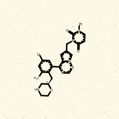 Cc1cc(Cl)cc(-c2ncnn3cc(Cn4c(=O)ccn(C(C)C)c4=O)cc23)c1C[C@@H]1CNCCO1